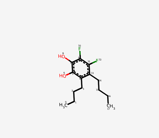 CCCCc1c(O)c(O)c(F)c(F)c1CCCC